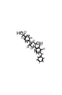 Cc1c(Cc2ccccc2)nnc(N2CCN(c3cnc(C(C)(C)O)cn3)[C@H](C)C2)c1CO